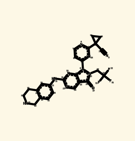 N#CC1(c2nccc(-n3c4nc(Nc5ccc6c(c5)CCNC6)ncc4c(=O)n3CC(F)(F)F)n2)CC1